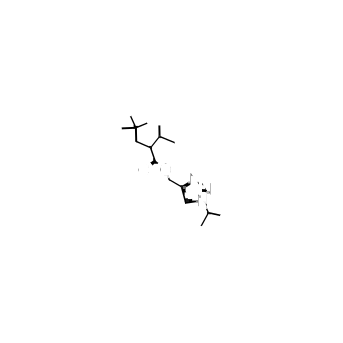 CC(C)C(CC(C)(C)C)C(=O)OCc1cn(C(C)C)nn1